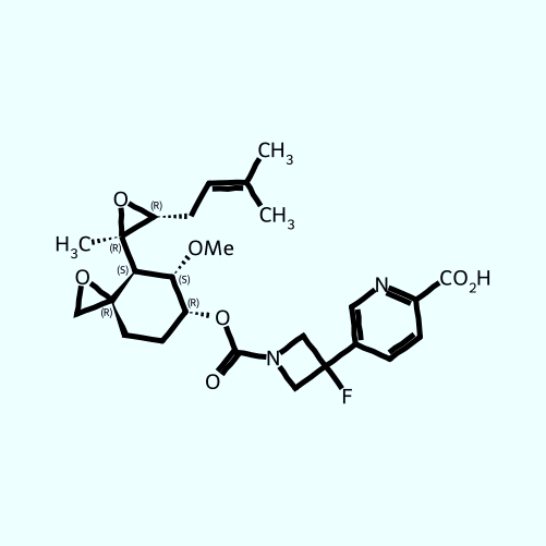 CO[C@@H]1[C@H](OC(=O)N2CC(F)(c3ccc(C(=O)O)nc3)C2)CC[C@]2(CO2)[C@H]1[C@@]1(C)O[C@@H]1CC=C(C)C